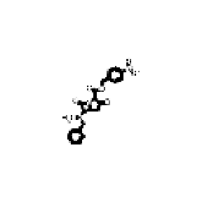 CN(Cc1ccccc1)C1C(=O)N2C(C(=O)OCc3ccc([N+](=O)[O-])cc3)C(=O)CC12